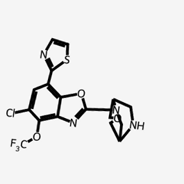 FC(F)(F)Oc1c(Cl)cc(-c2nccs2)c2oc(N3CC4COCC3CN4)nc12